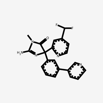 CN1C(=O)C(c2cccc(-c3cccnc3)c2)(c2cc(C(F)F)ccn2)N=C1N